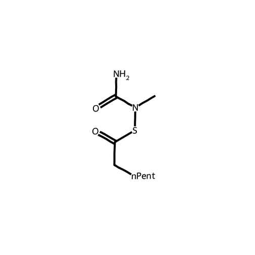 CCCCCCC(=O)SN(C)C(N)=O